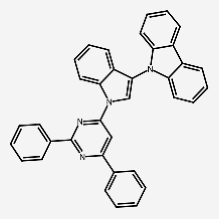 c1ccc(-c2cc(-n3cc(-n4c5ccccc5c5ccccc54)c4ccccc43)nc(-c3ccccc3)n2)cc1